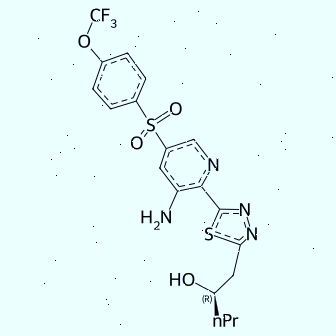 CCC[C@@H](O)Cc1nnc(-c2ncc(S(=O)(=O)c3ccc(OC(F)(F)F)cc3)cc2N)s1